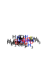 CCCCC(NC(=O)[C@@H]1[C@@H]2[C@H](CN1C(=O)[C@@H](NC(=O)OC(C)(C)C)C(C)(C)C)C2(C)C)C(=O)C(=O)NCC(=O)N[C@H](C(=O)N(C)C)c1cccs1